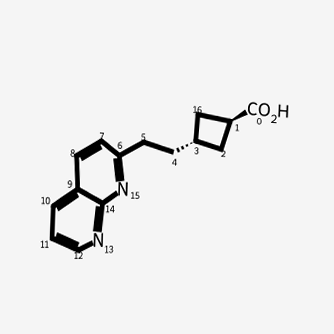 O=C(O)[C@H]1C[C@H](CCc2ccc3cccnc3n2)C1